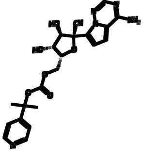 CC(C)(OC(=O)OC[C@H]1O[C@@](C#N)(c2ccc3c(N)ncnn23)[C@H](O)[C@H]1O)c1ccncc1